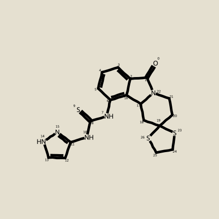 O=C1c2cccc(NC(=S)Nc3cc[nH]n3)c2C2CC3(CCN12)SCCS3